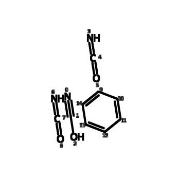 N#CO.N=C=O.N=C=O.c1ccccc1